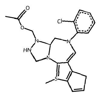 CC(=O)OCN1NCN2C3=S(C)C4=C(CC=C4)C3=CN(c3ccccc3Cl)CC12